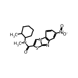 CC1CCCCC1N(C)C(=O)c1cn2c(nc3cc([N+](=O)[O-])ccc32)s1